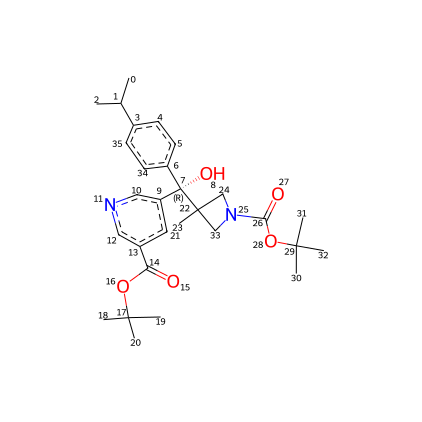 CC(C)c1ccc([C@](O)(c2cncc(C(=O)OC(C)(C)C)c2)C2(C)CN(C(=O)OC(C)(C)C)C2)cc1